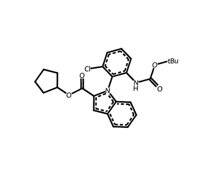 CC(C)(C)OC(=O)Nc1cccc(Cl)c1-n1c(C(=O)OC2CCCC2)cc2ccccc21